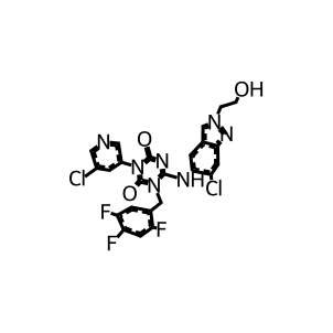 O=c1nc(Nc2cc3cn(CCO)nc3cc2Cl)n(Cc2cc(F)c(F)cc2F)c(=O)n1-c1cncc(Cl)c1